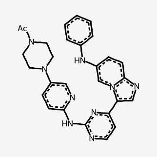 CC(=O)N1CCN(c2ccc(Nc3nccc(-c4cnc5ccc(Nc6ccccc6)cn45)n3)nc2)CC1